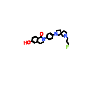 O=C1c2ccc(O)cc2CCN1c1ccc(N2CC[C@]3(CCN(CCCF)C3)C2)cc1